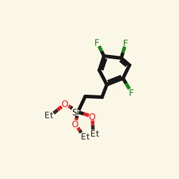 CCO[Si](CCc1cc(F)c(F)cc1F)(OCC)OCC